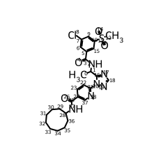 CC(NC(=O)c1cc(Cl)cc(S(C)(=O)=O)c1)c1ncnn1-c1ccc(C(=O)NC2CCCCCCCC2)cn1